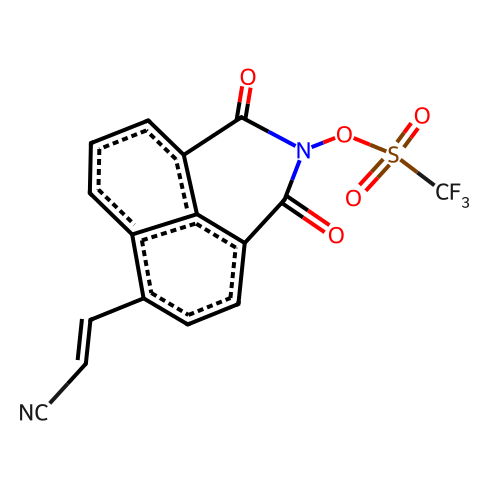 N#C/C=C/c1ccc2c3c(cccc13)C(=O)N(OS(=O)(=O)C(F)(F)F)C2=O